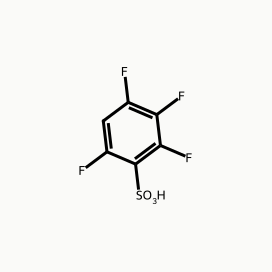 O=S(=O)(O)c1c(F)cc(F)c(F)c1F